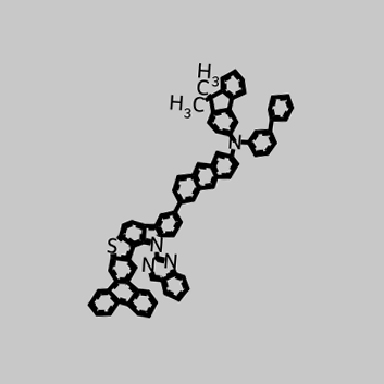 CC1(C)c2ccccc2-c2cc(N(c3cccc(-c4ccccc4)c3)c3ccc4cc5cc(-c6ccc7c(c6)c6ccc8sc9cc%10c%11ccccc%11c%11ccccc%11c%10cc9c8c6n7-c6ncc7ccccc7n6)ccc5cc4c3)ccc21